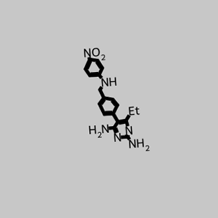 CCc1nc(N)nc(N)c1-c1ccc(CNc2ccc([N+](=O)[O-])cc2)cc1